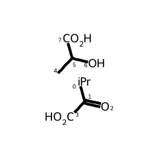 CC(C)C(=O)C(=O)O.CC(O)C(=O)O